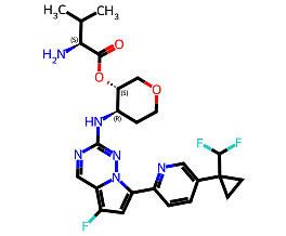 CC(C)[C@H](N)C(=O)O[C@@H]1COCC[C@H]1Nc1ncc2c(F)cc(-c3ccc(C4(C(F)F)CC4)cn3)n2n1